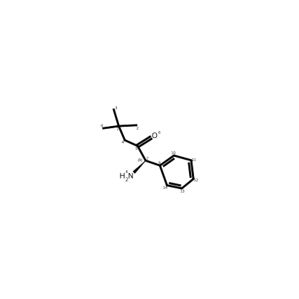 CC(C)(C)CC(=O)[C@H](N)c1ccccc1